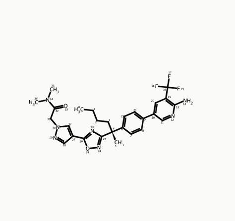 CCCC[C@](C)(c1ccc(-c2cnc(N)c(C(F)(F)F)c2)cc1)c1noc(-c2cnn(CC(=O)N(C)C)c2)n1